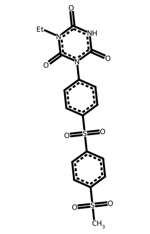 CCn1c(=O)[nH]c(=O)n(-c2ccc(S(=O)(=O)c3ccc(S(C)(=O)=O)cc3)cc2)c1=O